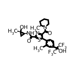 Cc1cc(C(O)(C(F)(F)F)C(F)(F)F)ccc1-c1sc(C(=O)N[C@H]2C[C@]2(C)O)nc1C(=O)N1CCCC[C@@H]1C